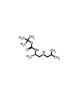 CC(C)CNC[C@@H](C)NC(=O)OC(C)(C)C